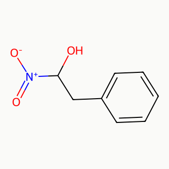 O=[N+]([O-])C(O)Cc1ccccc1